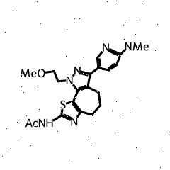 CNc1ccc(-c2nn(CCOC)c3c2CCCc2nc(NC(C)=O)sc2-3)cn1